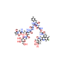 CC[C@@]1(O)C(=O)OCc2c1cc1n(c2=O)Cc2c-1nc1cc(F)c(C)c3c1c2[C@@H](NC(=O)COCNC(=O)CNC(=O)[C@H](Cc1ccccc1)NC(=O)CNC(=O)CNC(=O)[C@H](CCC(=O)NC[C@@H]1O[C@H](CO)[C@@H](O)[C@H](O)[C@H]1O)NC(=O)CCNC(=O)CN1C(=O)C=CC1=O)CC3